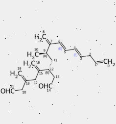 C=CC/C=C/C=C/C(=C)[C@H](C)C[C@H](CC=O)C(=C)CC(=C)CC=O